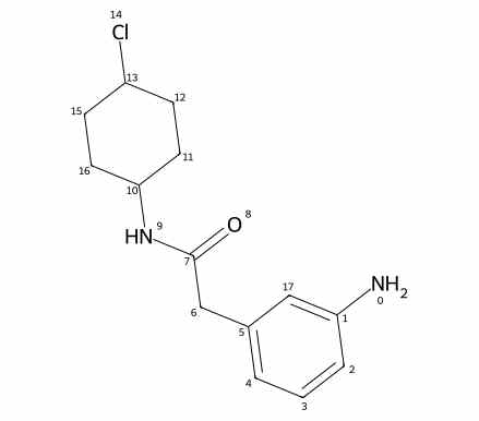 Nc1cccc(CC(=O)NC2CCC(Cl)CC2)c1